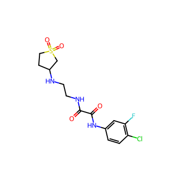 O=C(NCCNC1CCS(=O)(=O)C1)C(=O)Nc1ccc(Cl)c(F)c1